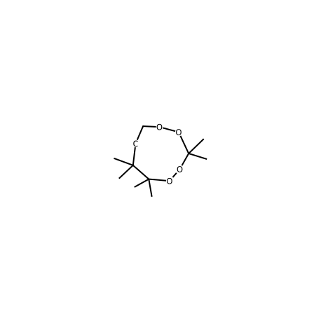 CC1(C)OOCCC(C)(C)C(C)(C)OO1